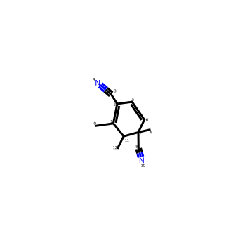 CC1=C(C#N)C=CC(C)(C#N)C1C